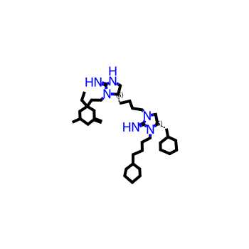 C=C1CC(C)CC(CC)(CCN2C(=N)NC[C@@H]2CCCCN2C[C@H](CC3CCCCC3)N(CCCCC3CCCCC3)C2=N)C1